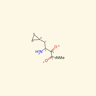 CNC(=O)C(=O)C(N)CC1CC1